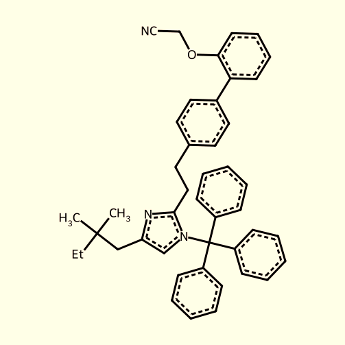 CCC(C)(C)Cc1cn(C(c2ccccc2)(c2ccccc2)c2ccccc2)c(CCc2ccc(-c3ccccc3OCC#N)cc2)n1